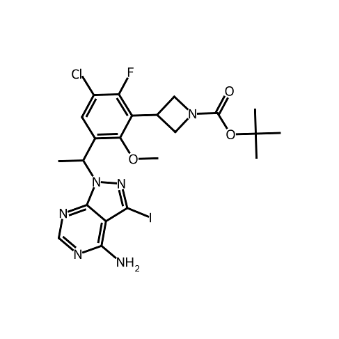 COc1c(C(C)n2nc(I)c3c(N)ncnc32)cc(Cl)c(F)c1C1CN(C(=O)OC(C)(C)C)C1